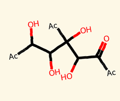 CC(=O)C(=O)C(O)C(O)(C(C)=O)C(O)C(O)C(C)=O